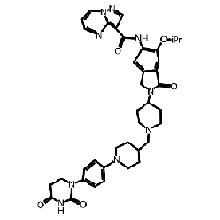 CC(C)Oc1cc2c(cc1NC(=O)c1cnn3cccnc13)CN(C1CCN(CC3CCN(c4ccc(N5CCC(=O)NC5=O)cc4)CC3)CC1)C2=O